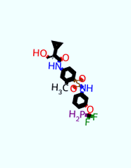 Cc1cc(NC(=O)[C@@H](CO)C2CC2)ccc1S(=O)(=O)Nc1cccc(OC(F)(F)P)c1